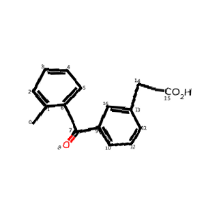 Cc1ccccc1C(=O)c1cccc(CC(=O)O)c1